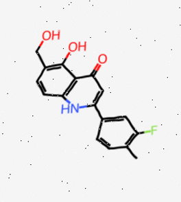 Cc1ccc(-c2cc(=O)c3c(O)c(CO)ccc3[nH]2)cc1F